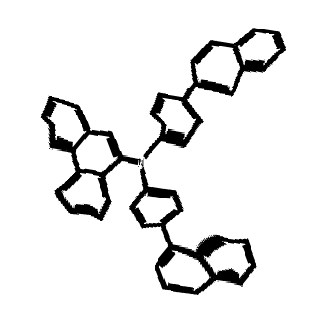 c1ccc2cc(-c3ccc(N(c4ccc(-c5cccc6ccccc56)cc4)c4cc5ccccc5c5ccccc45)cc3)ccc2c1